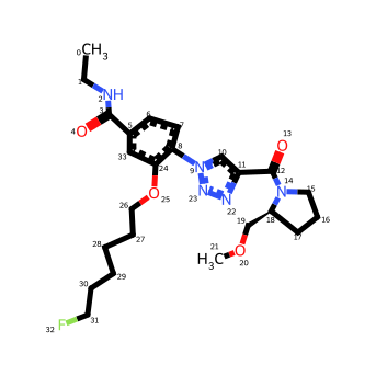 CCNC(=O)c1ccc(-n2cc(C(=O)N3CCC[C@H]3COC)nn2)c(OCCCCCCF)c1